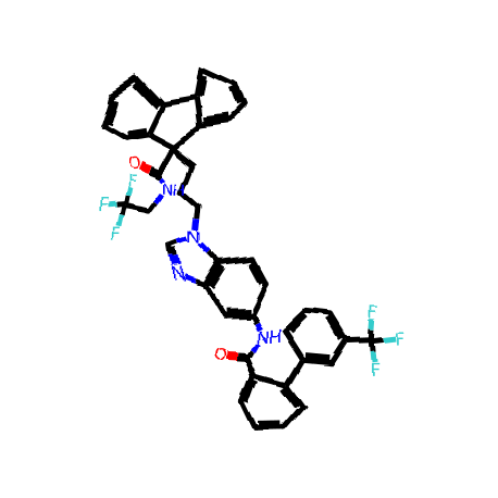 O=C(Nc1ccc2c(c1)ncn2CCCC1(C(=O)NCC(F)(F)F)c2ccccc2-c2ccccc21)c1ccccc1-c1cccc(C(F)(F)F)c1